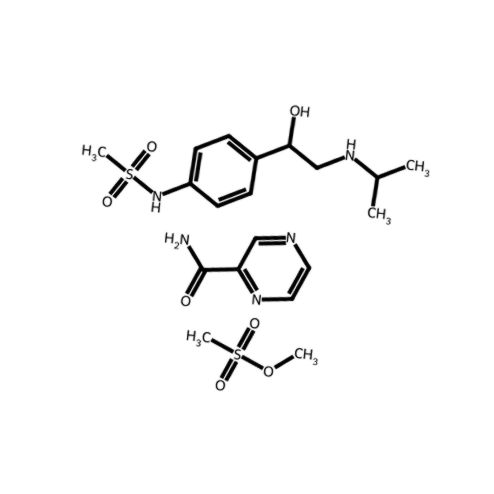 CC(C)NCC(O)c1ccc(NS(C)(=O)=O)cc1.COS(C)(=O)=O.NC(=O)c1cnccn1